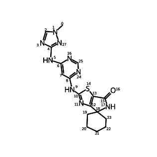 Cn1cnc(Nc2cc(Nc3nc4c(s3)C(=O)NC43CCCCC3)ncn2)n1